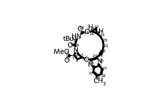 COC(=O)[C@@H]1CC2CN1C(=O)[C@H](C(C)(C)C)NC(=O)O[C@@H]1C[C@H]1CCCC#Cc1nc3ccc(C)cc3nc1O2